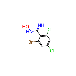 N=C(NO)c1c(Cl)cc(Cl)cc1Br